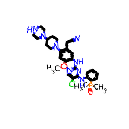 COc1cc(N2CCC(N3CCNCC3)CC2)c(CC#N)cc1Nc1ncc(Cl)c(Nc2ccccc2P(C)(C)=O)n1